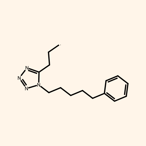 [CH2]CCc1nnnn1CCCCCc1ccccc1